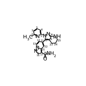 Cc1cccc(-n2nc3c(c2-c2ccn4ncc(C(N)=O)c4c2)CCCN3)n1